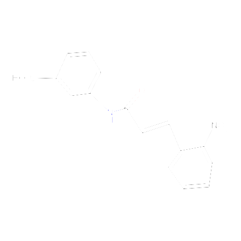 O=C(/C=C/c1ccccc1[N+](=O)[O-])Nc1cccc(C(=O)O)c1